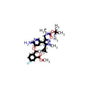 COC(=O)c1cc(F)ccc1C(C)Oc1cc(-c2c(CN(C)C(=O)OC(C)(C)C)nn(C)c2C2CC2)cnc1N